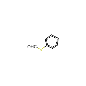 O=CSc1ccccc1